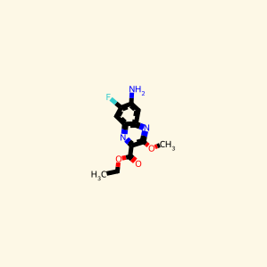 CCOC(=O)c1nc2cc(F)c(N)cc2nc1OC